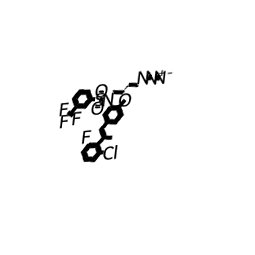 C/C(=C\c1ccc2c(c1)N(S(=O)(=O)c1cccc(C(F)(F)F)c1)C[C@H](CCN=[N+]=[N-])O2)c1c(F)cccc1Cl